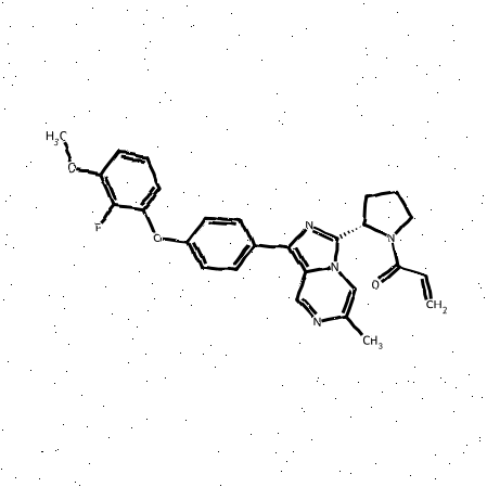 C=CC(=O)N1CCC[C@H]1c1nc(-c2ccc(Oc3cccc(OC)c3F)cc2)c2cnc(C)cn12